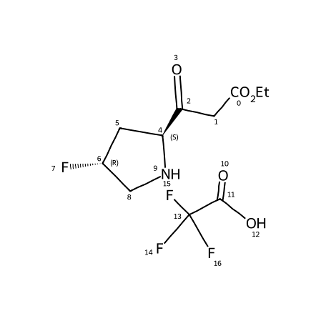 CCOC(=O)CC(=O)[C@@H]1C[C@@H](F)CN1.O=C(O)C(F)(F)F